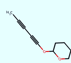 CC#CC#COC1CCCCO1